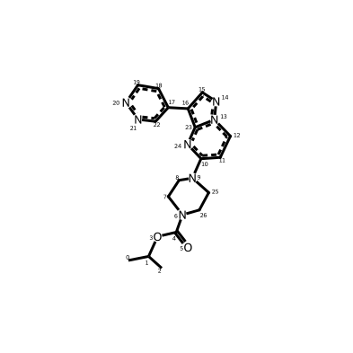 CC(C)OC(=O)N1CCN(c2ccn3ncc(-c4ccnnc4)c3n2)CC1